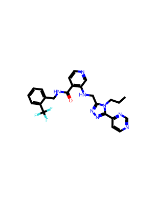 CCCn1c(CNc2cnccc2C(=O)NCc2ccccc2C(F)(F)F)nnc1-c1ccncn1